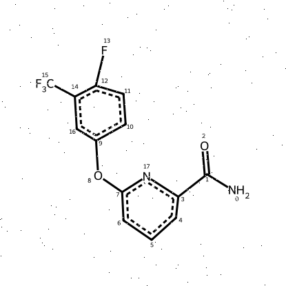 NC(=O)c1cccc(Oc2ccc(F)c(C(F)(F)F)c2)n1